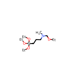 CCOCN(C)CCC[Si](OCC)(OCC)OCC